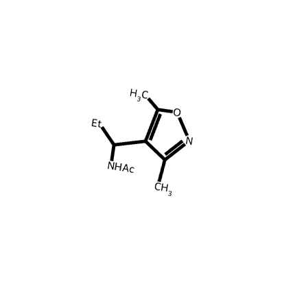 CCC(NC(C)=O)c1c(C)noc1C